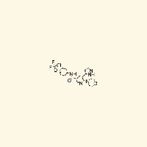 O=C(Nc1ccc(OC(F)(F)Cl)cc1)c1cnc(N2CCOCC2)c(-c2ccn[nH]2)c1